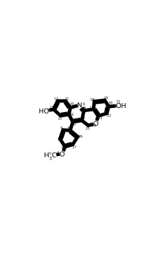 COc1ccc(-c2c3c(nc4ccc(O)cc24)-c2ccc(O)cc2OC3)cc1